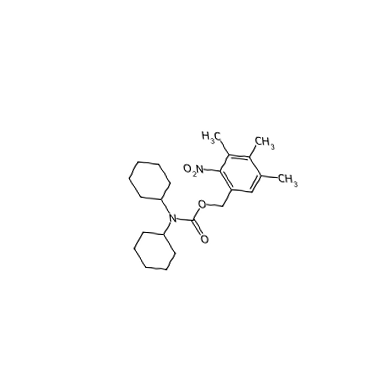 Cc1cc(COC(=O)N(C2CCCCC2)C2CCCCC2)c([N+](=O)[O-])c(C)c1C